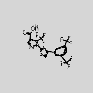 O=C(O)c1cnn(-c2nc(-c3cc(C(F)(F)F)cc(C(F)(F)F)c3)cs2)c1C(F)(F)F